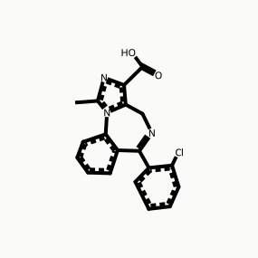 Cc1nc(C(=O)O)c2n1-c1ccccc1C(c1ccccc1Cl)=NC2